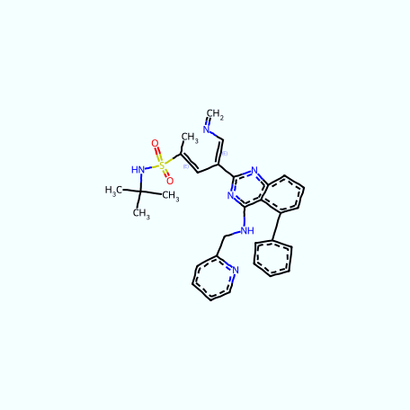 C=N/C=C(\C=C(/C)S(=O)(=O)NC(C)(C)C)c1nc(NCc2ccccn2)c2c(-c3ccccc3)cccc2n1